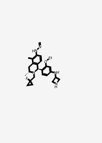 C=NNc1ccc2c(c1C)C[C@@H](C)N(CC1(F)CC1)[C@@H]2c1ccc(NC2CNC2)cc1OCC